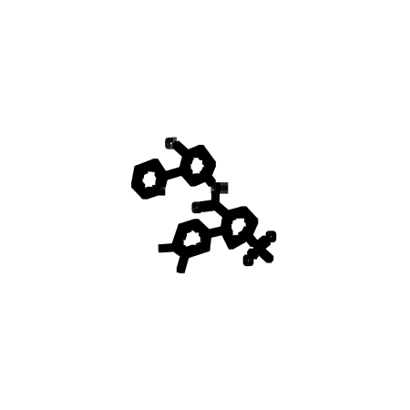 Cc1ccc(-c2cc(S(C)(=O)=O)ccc2C(=O)Nc2ccc(Cl)c(-c3ccccn3)c2)cc1C